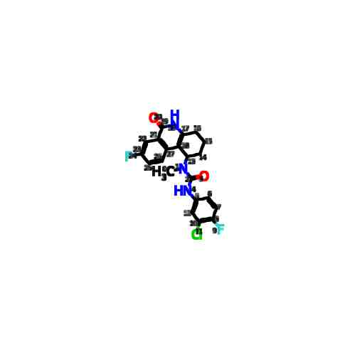 CN(C(=O)Nc1ccc(F)c(Cl)c1)C1CCCc2[nH]c(=O)c3cc(F)ccc3c21